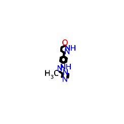 CC(=NNc1ccc(C2=NNC(=O)CC2)cc1)c1cnccn1